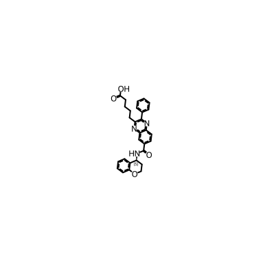 O=C(O)CCCCc1nc2cc(C(=O)N[C@H]3CCOc4ccccc43)ccc2nc1-c1ccccc1